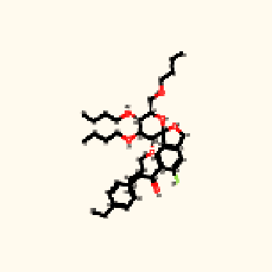 CCCCOC[C@H]1O[C@]2(OCc3cc(F)c(C(=O)Cc4ccc(CC)cc4)cc32)[C@H](OCCCC)[C@@H](OCCCC)[C@@H]1OCCCC